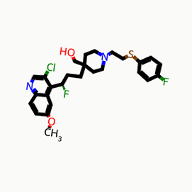 COc1ccc2ncc(Cl)c([C@H](F)CCC3(CO)CCN(CCSc4ccc(F)cc4)CC3)c2c1